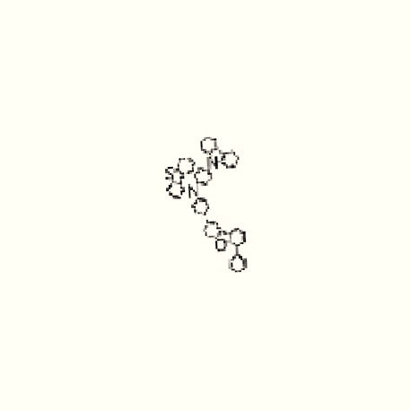 c1ccc(-c2cccc3c2oc2ccc(-c4ccc(N(c5ccc(-n6c7ccccc7c7ccccc76)cc5)c5cccc6sc7ccccc7c56)cc4)cc23)cc1